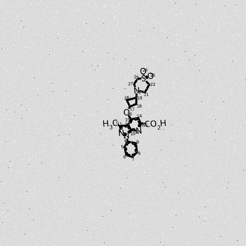 Cc1nn(-c2ccccc2)c2nc(C(=O)O)cc(OC3CC(N4CCS(=O)(=O)CC4)C3)c12